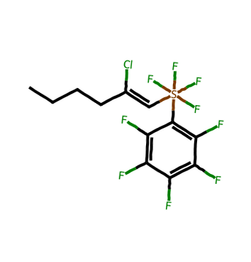 CCCCC(Cl)=CS(F)(F)(F)(F)c1c(F)c(F)c(F)c(F)c1F